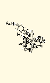 CC(=O)Nc1ccc(C(C)(C)NC(=O)[C@H]2C[C@H]3N(C)C(=O)C=C[C@]3(C)[C@H]3CC[C@]4(C)CCC[C@H]4[C@H]23)cc1